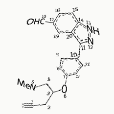 C#CCC(CNC)Oc1ccc(-c2n[nH]c3ccc(C=O)cc23)cc1